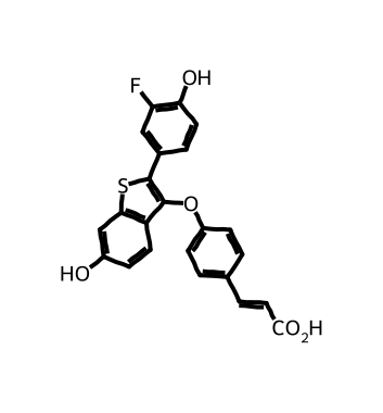 O=C(O)C=Cc1ccc(Oc2c(-c3ccc(O)c(F)c3)sc3cc(O)ccc23)cc1